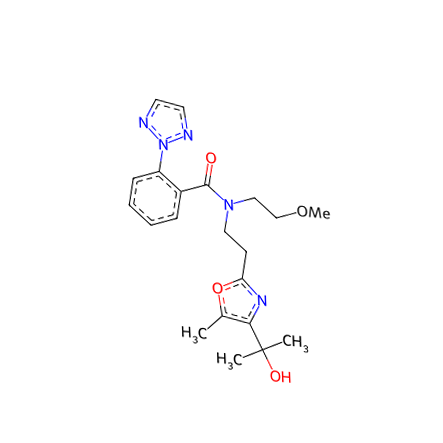 COCCN(CCc1nc(C(C)(C)O)c(C)o1)C(=O)c1ccccc1-n1nccn1